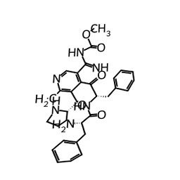 [CH2]c1ncc(C(=N)NC(=O)OC)c(C(=O)[C@H](Cc2ccccc2)NC(=O)[C@@H](N)Cc2ccccc2)c1C(=O)[C@@H]1CCCN1